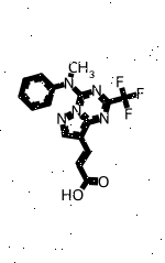 CN(c1ccccc1)c1nc(C(F)(F)F)nc2c(C=CC(=O)O)cnn12